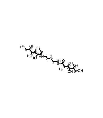 O=C(NCCNCCNC(=O)C(O)C(O)C(O)C(O)CO)C(O)C(O)C(O)C(O)CO